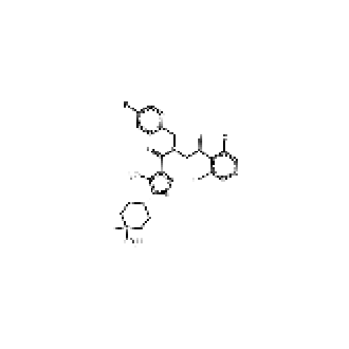 O=C(CN(Cc1ccc(F)cc1)C(=O)c1cnn([C@H]2CC[C@](F)(C(=O)O)CC2)c1C(F)(F)F)c1c(Cl)cncc1Cl